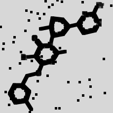 Cc1cccc(COc2nc(C)n(-c3cc(-c4ccnc(C(C)C)n4)ccc3C)c(=O)c2Br)c1